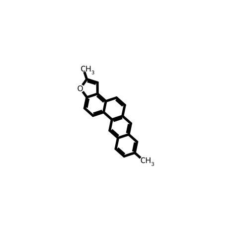 Cc1ccc2cc3c(ccc4c5cc(C)oc5ccc34)cc2c1